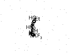 CCC(O)[C@H]1CC[C@H](N2CC(NC(=O)CNc3nn(C)c4ncc(C(F)(F)F)cc34)C2)CC1